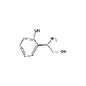 NC(CO)c1ccccc1O